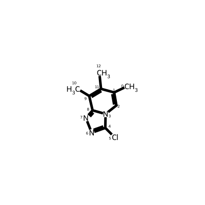 Cc1cn2c(Cl)nnc2c(C)c1C